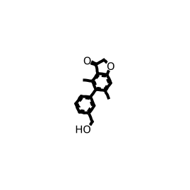 Cc1cc2c(c(C)c1-c1cccc(CO)c1)C(=O)CO2